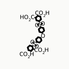 O=C(O)c1ccc(S(=O)(=O)c2ccc(Oc3ccc(S(=O)(=O)c4cccc(C(=O)O)c4C(=O)O)cc3)cc2)cc1C(=O)O